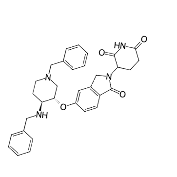 O=C1CCC(N2Cc3cc(O[C@H]4CN(Cc5ccccc5)CC[C@@H]4NCc4ccccc4)ccc3C2=O)C(=O)N1